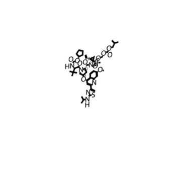 C=C[C@@H]1C[C@]1(NC(=O)[C@@H]1C[C@@H](Oc2cc(-c3csc(NC(C)C)n3)nc3cc(OC)ccc23)CN1C(=O)C(NC(=O)OC1CCCC1)C(C)(C)C)P(C)(=O)OCOC(=O)OCC(C)C